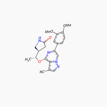 COc1ccc(-c2cn3ncc(C#N)c3c(O[C@H](C)[C@H]3CNC(=O)C3)n2)cc1OC